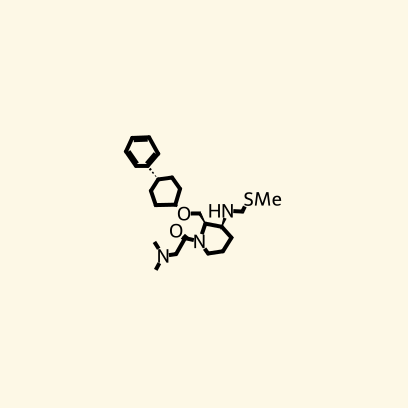 CSCN[C@H]1CCCN(C(=O)CN(C)C)[C@H]1CO[C@H]1CC[C@@H](c2ccccc2)CC1